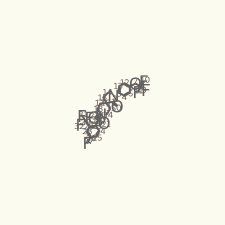 O=C1N(c2ccc(OC(F)(F)F)cc2)CCC12CCN(S(=O)(=O)c1ccc(F)cc1C(F)(F)F)CC2